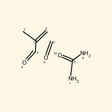 C=C(C)C=O.C=O.NC(N)=O